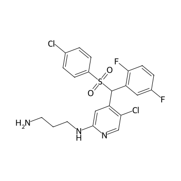 NCCCNc1cc(C(c2cc(F)ccc2F)S(=O)(=O)c2ccc(Cl)cc2)c(Cl)cn1